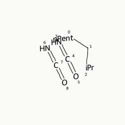 CCCCCCC(C)C.N=C=O.N=C=O